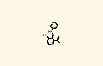 C=C(C)C1=CC=CC(=N)/C1=C\Nc1cccnc1